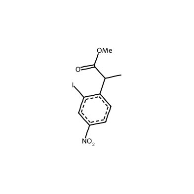 COC(=O)C(C)c1ccc([N+](=O)[O-])cc1I